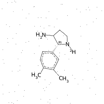 [2H]N1CCC(N)[C@H]1c1ccc(C)c(C)c1